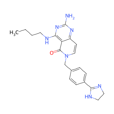 CCCCNc1nc(N)nc2ccn(Cc3ccc(C4=NCCN4)cc3)c(=O)c12